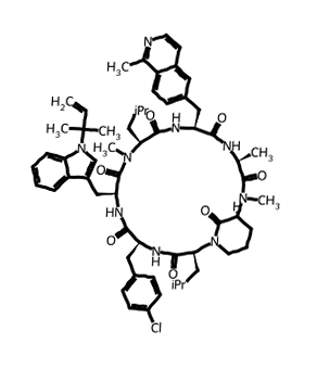 C=CC(C)(C)n1cc(C[C@@H]2NC(=O)[C@H](Cc3ccc(Cl)cc3)NC(=O)[C@H](CC(C)C)N3CCC[C@@H](C3=O)N(C)C(=O)[C@H](C)NC(=O)[C@H](Cc3ccc4c(C)nccc4c3)NC(=O)[C@H](CC(C)C)N(C)C2=O)c2ccccc21